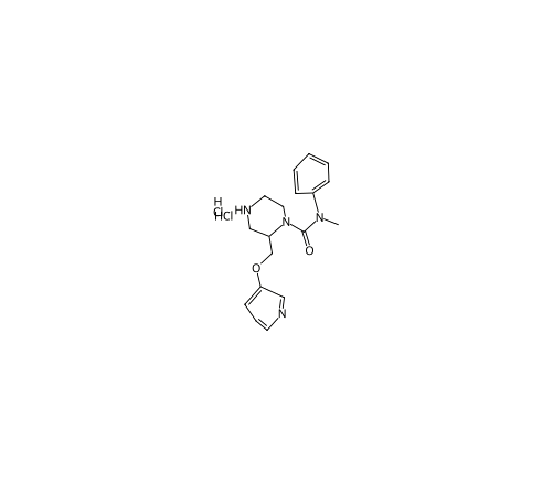 CN(C(=O)N1CCNCC1COc1cccnc1)c1ccccc1.Cl.Cl